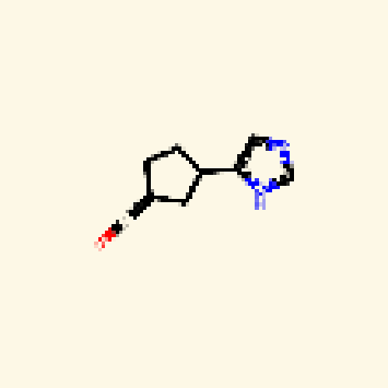 O=C=C1[CH]C(c2cnc[nH]2)CC1